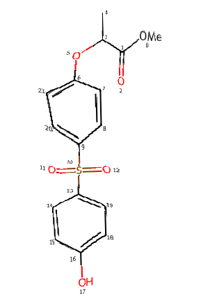 COC(=O)C(C)Oc1ccc(S(=O)(=O)c2ccc(O)cc2)cc1